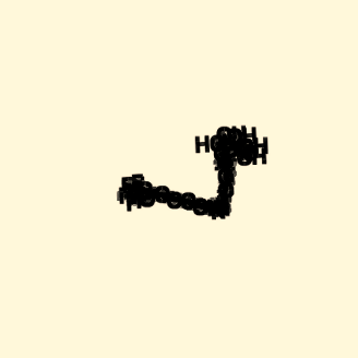 O=C(CCOCCOCCOCCOCCn1cc(CCOCCOCc2ccc(O[C@H]3O[C@H](CCP(=O)(O)O)[C@@H](O)[C@H](O)[C@@H]3O)cc2)nn1)Oc1c(F)c(F)c(F)c(F)c1F